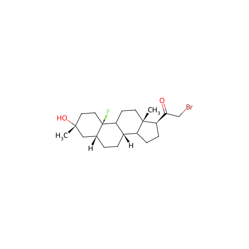 C[C@@]1(O)CC[C@]2(F)C3CC[C@@]4(C)C(CC[C@@H]4C(=O)CBr)[C@@H]3CC[C@@H]2C1